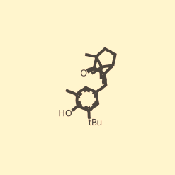 Cc1cc(C=C2C(=O)C3(C)CCC2C3(C)C)cc(C(C)(C)C)c1O